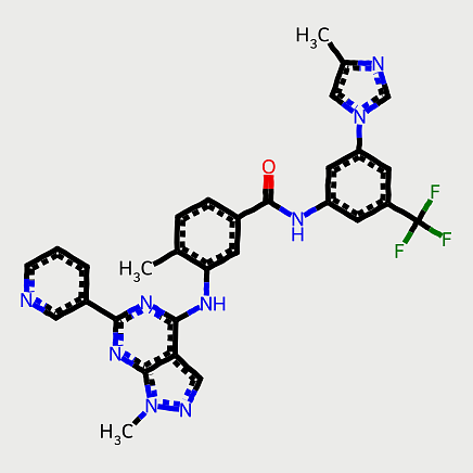 Cc1cn(-c2cc(NC(=O)c3ccc(C)c(Nc4nc(-c5cccnc5)nc5c4cnn5C)c3)cc(C(F)(F)F)c2)cn1